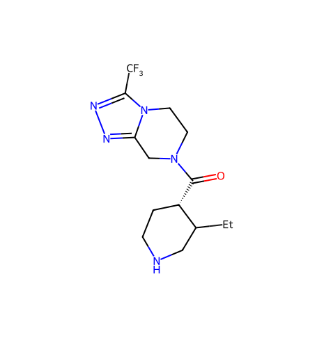 CCC1CNCC[C@@H]1C(=O)N1CCn2c(nnc2C(F)(F)F)C1